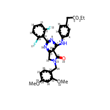 CCOC(=O)Cc1ccc(Nc2nc(-c3c(F)cccc3F)nc3c2C(=O)N(Cc2ccc(OC)cc2OC)C3)cc1